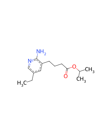 CCc1cnc(N)c(CCCC(=O)OC(C)C)c1